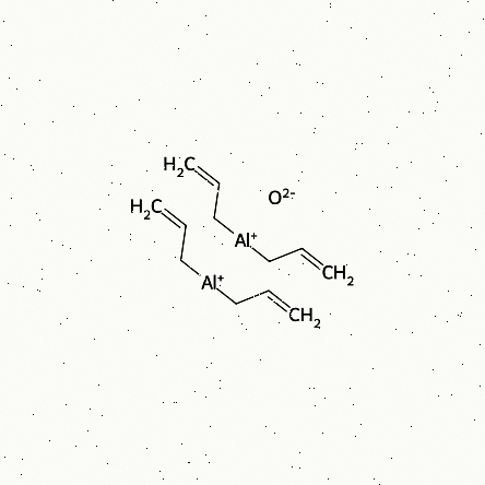 C=C[CH2][Al+][CH2]C=C.C=C[CH2][Al+][CH2]C=C.[O-2]